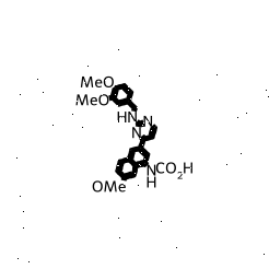 COc1ccc2cc(-c3ccnc(NCc4ccc(OC)c(OC)c4)n3)cc(NC(=O)O)c2c1